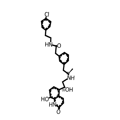 C[C@H](Cc1cccc(CC(=O)NCCc2ccc(Cl)cc2)c1)NC[C@@H](O)c1ccc(O)c2[nH]c(=O)ccc12